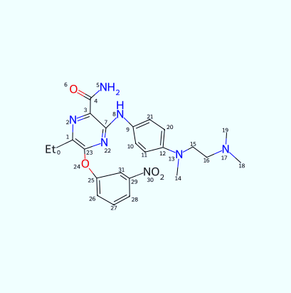 CCc1nc(C(N)=O)c(Nc2ccc(N(C)CCN(C)C)cc2)nc1Oc1cccc([N+](=O)[O-])c1